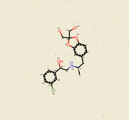 C[C@H](Cc1ccc2c(c1)OC(C[O])(C[O])O2)NC[C@H](O)c1cccc(Cl)c1